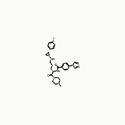 CN1CCN(C(=O)[C@@H](CCCN[C@H]2C[C@@H]2c2ccc(F)cc2)NC(=O)c2ccc(-n3ccnn3)cc2)CC1